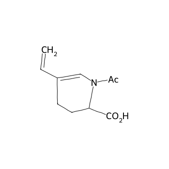 C=CC1=CN(C(C)=O)C(C(=O)O)CC1